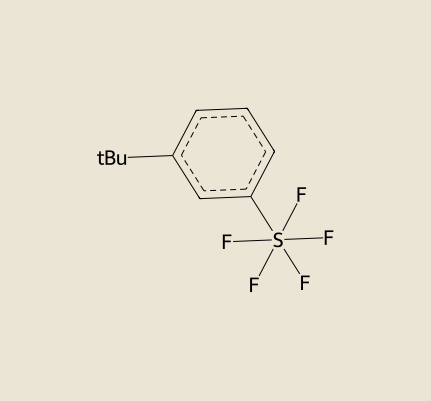 CC(C)(C)c1cccc(S(F)(F)(F)(F)F)c1